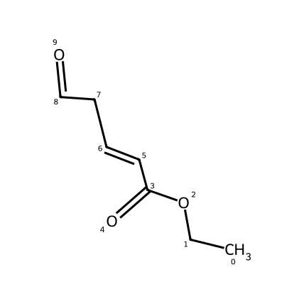 CCOC(=O)C=CCC=O